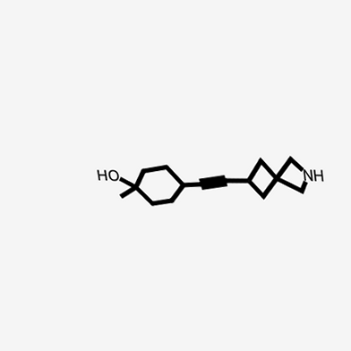 CC1(O)CCC(C#CC2CC3(CNC3)C2)CC1